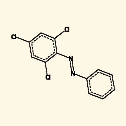 Clc1cc(Cl)c(/N=N/c2ccccc2)c(Cl)c1